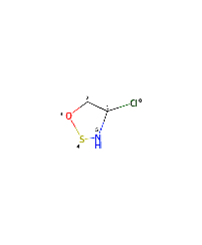 ClC1COSN1